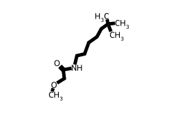 COCC(=O)NCCCCCC(C)(C)C